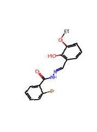 CCOc1cccc(/C=N/NC(=O)c2ccccc2Br)c1O